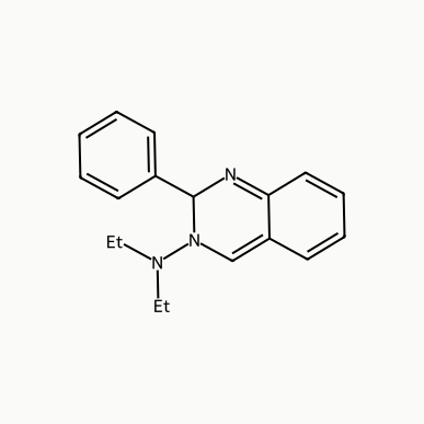 CCN(CC)N1C=c2ccccc2=NC1c1ccccc1